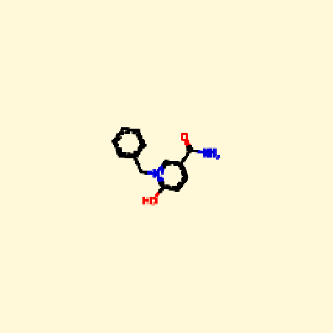 NC(=O)c1ccc(O)[n+](Cc2ccccc2)c1